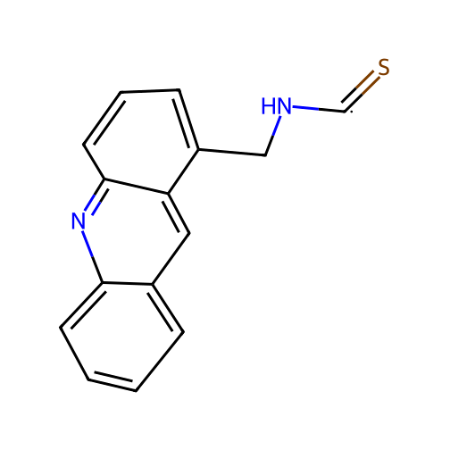 S=[C]NCc1cccc2nc3ccccc3cc12